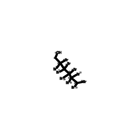 OCC(Br)(Br)C(Br)(Br)C(Br)(Br)C(Br)(Br)C(Br)Br